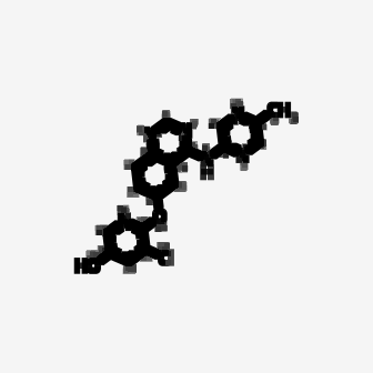 Cc1cnc(Nc2ncnc3ccc(Oc4ncc(O)cc4Cl)cc23)cn1